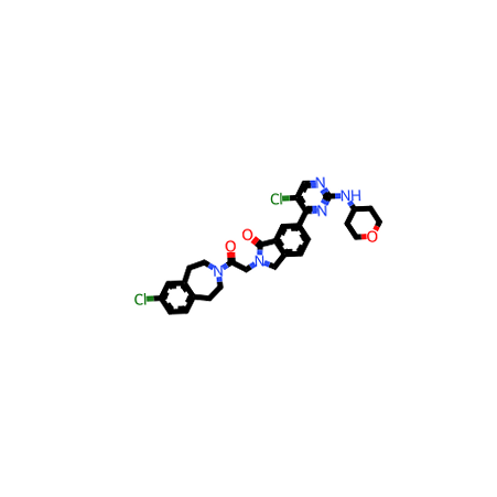 O=C(CN1Cc2ccc(-c3nc(NC4CCOCC4)ncc3Cl)cc2C1=O)N1CCc2ccc(Cl)cc2CC1